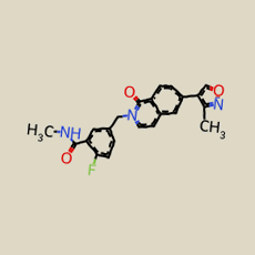 CNC(=O)c1cc(Cn2ccc3cc(-c4conc4C)ccc3c2=O)ccc1F